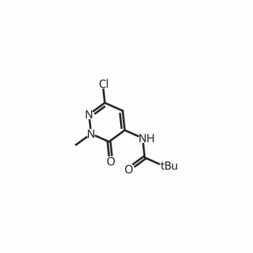 Cn1nc(Cl)cc(NC(=O)C(C)(C)C)c1=O